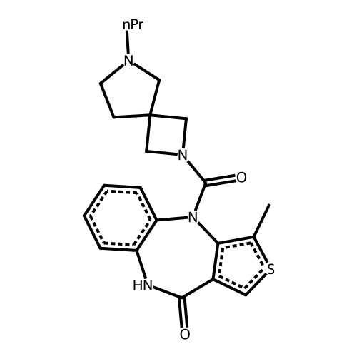 CCCN1CCC2(C1)CN(C(=O)N1c3ccccc3NC(=O)c3csc(C)c31)C2